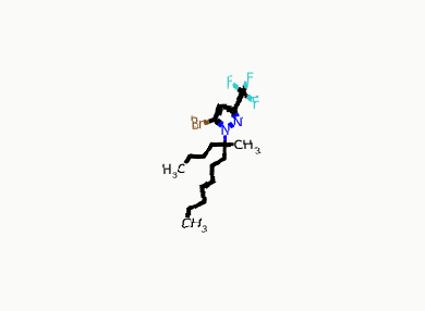 CCCCCCCC(C)(CCCC)n1nc(C(F)(F)F)cc1Br